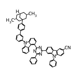 C[C@@H]1C[C@@H]2C[C@H](C)CC(c3ccc(-c4cccc(-n5c6ccccc6c6c(-c7nc(-c8ccccc8)nc(-c8ccc9c%10cc(C#N)ccc%10n(-c%10ccccc%10)c9c8)n7)cccc65)c4)cc3)(C1)C2